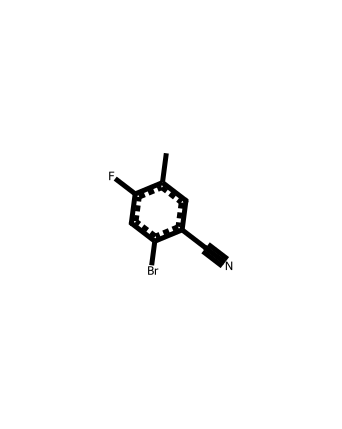 Cc1cc(C#N)c(Br)cc1F